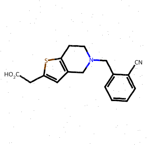 N#Cc1ccccc1CN1CCc2sc(CC(=O)O)cc2C1